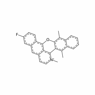 Cc1c2c(c(C)c3ccccc13)-c1c3c(c4ccc(F)cc4cc3cc[n+]1C)O2